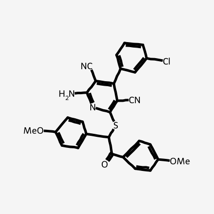 COc1ccc(C(=O)C(Sc2nc(N)c(C#N)c(-c3cccc(Cl)c3)c2C#N)c2ccc(OC)cc2)cc1